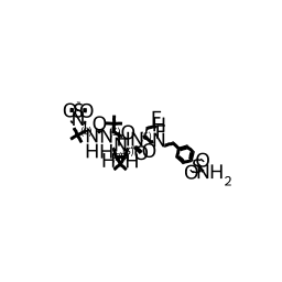 CN(C[C@@H](NC(=O)N[C@H](C(=O)N1C[C@H]2[C@@H]([C@H]1C(=O)N[C@@H](CC(F)F)C(=O)NCCc1ccc(S(N)(=O)=O)cc1)C2(C)C)C(C)(C)C)C(C)(C)C)S(C)(=O)=O